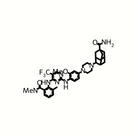 CNC(=O)c1cccc(C)c1Nc1nc(Nc2ccc(N3CCN(C4C5CC6CC4CC(C(N)=O)(C6)C5)CC3)cc2OC)ncc1C(F)(F)F